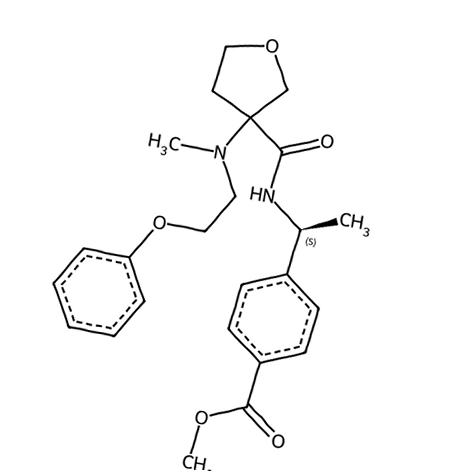 COC(=O)c1ccc([C@H](C)NC(=O)C2(N(C)CCOc3ccccc3)CCOC2)cc1